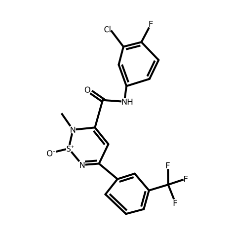 CN1C(C(=O)Nc2ccc(F)c(Cl)c2)=CC(c2cccc(C(F)(F)F)c2)=N[S+]1[O-]